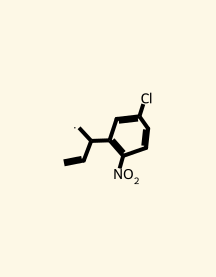 [CH2]C(C=C)c1cc(Cl)ccc1[N+](=O)[O-]